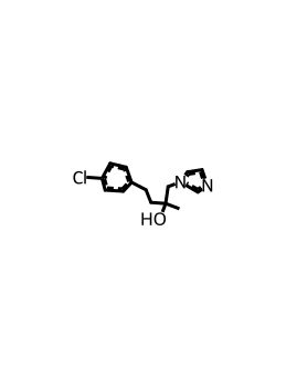 CC(O)(CCc1ccc(Cl)cc1)Cn1ccnc1